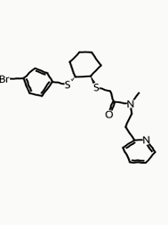 CN(CCc1ccccn1)C(=O)CS[C@@H]1CCCC[C@H]1Sc1ccc(Br)cc1